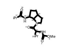 COC(=O)NC(C(=O)N1CCC2CCC(NC(=O)C(C)C)C21)C(C)C